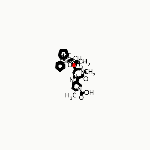 C=CC(O[Si](c1ccccc1)(c1ccccc1)C(C)(C)C)C1CN(C)C(=O)c2c3c(nn2C1)C[C@@H](C)N(C(=O)O)C3